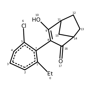 CCc1cccc(Cl)c1C1=C(O)C2CCC(C2)C1=O